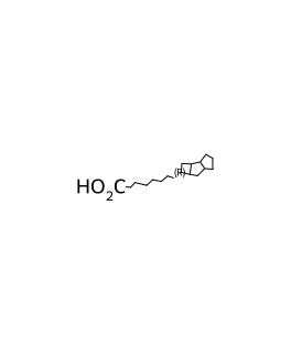 O=C(O)CCCCCCC[C@@H]1CC2C3CCCC3CC21